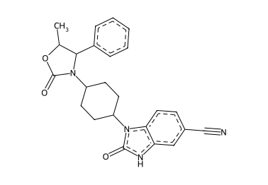 CC1OC(=O)N(C2CCC(n3c(=O)[nH]c4cc(C#N)ccc43)CC2)C1c1ccccc1